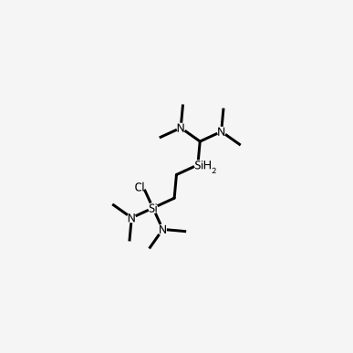 CN(C)C([SiH2]CC[Si](Cl)(N(C)C)N(C)C)N(C)C